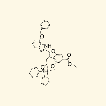 CCOC(=O)c1cc(OC)c2c(CCO[Si](c3ccccc3)(c3ccccc3)C(C)(C)C)c(-c3cc4cccc(OCc5ccccc5)c4[nH]3)oc2c1